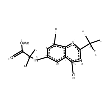 COC(=O)C(C)(C)Nc1cc(F)c2nc(C(C)(F)F)nc(Cl)c2c1